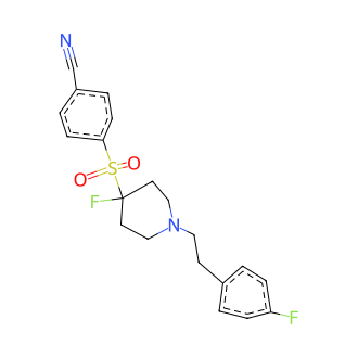 N#Cc1ccc(S(=O)(=O)C2(F)CCN(CCc3ccc(F)cc3)CC2)cc1